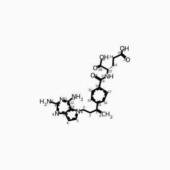 C=C(CCn1ccc2nc(N)nc(N)c21)c1ccc(C(=O)N[C@@H](CCC(=O)O)C(=O)O)cc1